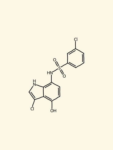 O=S(=O)(Nc1ccc(O)c2c(Cl)c[nH]c12)c1cccc(Cl)c1